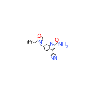 CC(C)CC1COCCN1CC1=CC=C2C(c3cnn(C)c3)=CC(C(N)=O)=NC2C1